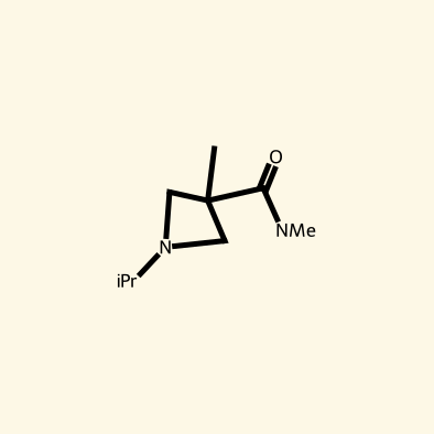 CNC(=O)C1(C)CN(C(C)C)C1